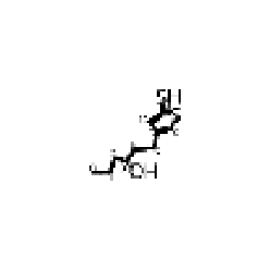 CCCC(O)CCc1csc(S)c1